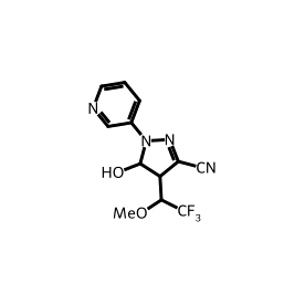 COC(C1C(C#N)=NN(c2cccnc2)C1O)C(F)(F)F